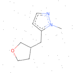 Cn1nccc1CC1CCOC1